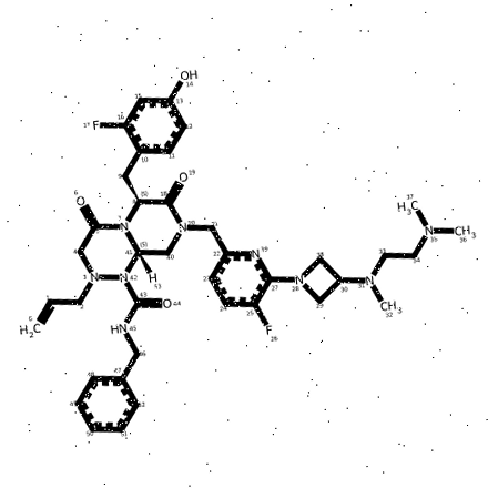 C=CCN1CC(=O)N2[C@@H](Cc3ccc(O)cc3F)C(=O)N(Cc3ccc(F)c(N4CC(N(C)CCN(C)C)C4)n3)C[C@@H]2N1C(=O)NCc1ccccc1